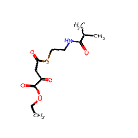 CCOC(=O)C(=O)CC(=O)SCCNC(=O)C(C)C